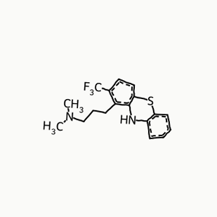 CN(C)CCCc1c(C(F)(F)F)ccc2c1Nc1ccccc1S2